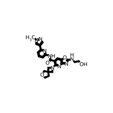 Cn1cc(-c2cccc(NC(=O)c3cc4oc(NCCO)nc4nc3N3CC4(CCOC4)C3)n2)cn1